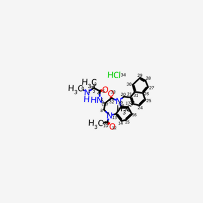 CN[C@@H](C)C(=O)N[C@H]1CN(C(C)=O)c2ccccc2N(Cc2c(C)ccc3ccccc23)C1=O.Cl